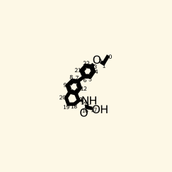 CCOc1ccc(-c2ccc3c(c2)[C@@H](NC(=O)O)CCC3)cc1